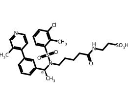 Cc1cnccc1-c1cccc([C@H](C)N(CCCCC(=O)NCCS(=O)(=O)O)S(=O)(=O)c2cccc(Cl)c2C)c1